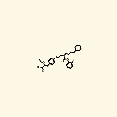 CCOC(Cc1ccc(OCCN(CCCCC2CCCCC2)C(=O)Oc2ccccc2F)cc1)C(=O)O